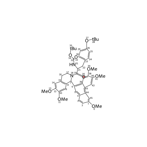 COc1ccc2cc(C3c4cc(OC)c(OC)cc4CCN3C(=O)C(Cc3ccc(OC(C)(C)C)cc3)NC(=O)OC(C)(C)C)c3cc(OC)c(OC)cc3c2c1